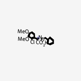 COc1ccc(/C(=N/OCc2ccccc2)C(=O)O)c(Cl)c1OC